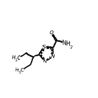 CCC(CC)c1nnc(C(N)=O)s1